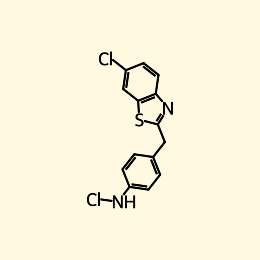 ClNc1ccc(Cc2nc3ccc(Cl)cc3s2)cc1